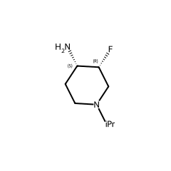 CC(C)N1CC[C@H](N)[C@H](F)C1